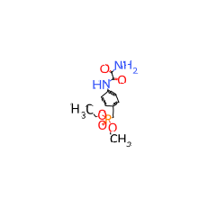 CCOP(=O)(Cc1ccc(NC(=O)C(N)=O)cc1)OCC